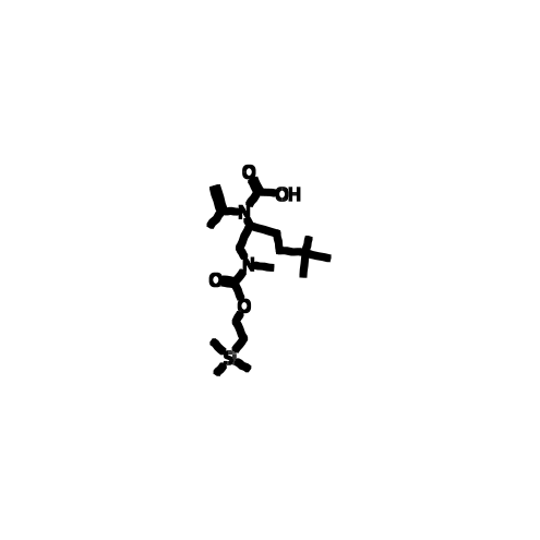 C=C(C)N(C(=O)O)C(CCC(C)(C)C)CN(C)C(=O)OCC[Si](C)(C)C